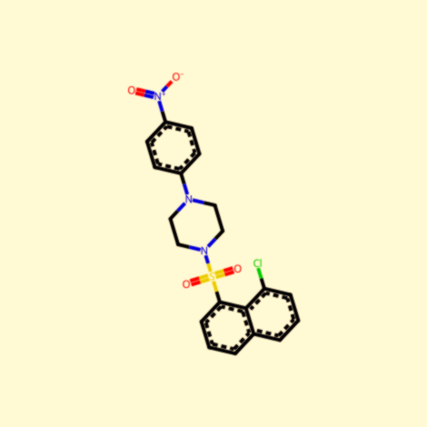 O=[N+]([O-])c1ccc(N2CCN(S(=O)(=O)c3cccc4cccc(Cl)c34)CC2)cc1